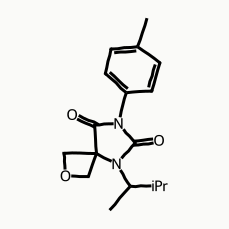 Cc1ccc(N2C(=O)N(C(C)C(C)C)C3(COC3)C2=O)cc1